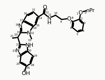 CCCOc1ccccc1OCCNC(=O)c1ccc2nc(C(C)c3nc4cc(O)ccc4[nH]3)n(C)c2c1